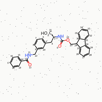 O=C(N[C@@H](Cc1cccc(CNC(=O)c2ccccc2)c1)C(=O)O)OCC1c2ccccc2-c2ccccc21